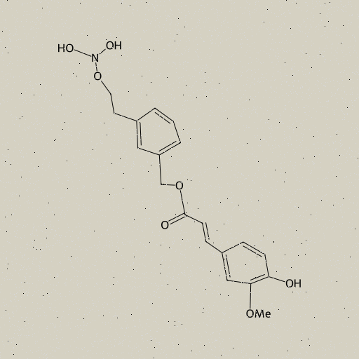 COc1cc(/C=C/C(=O)OCc2cccc(CCON(O)O)c2)ccc1O